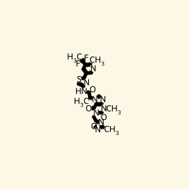 Cc1noc(Cn2c(=O)c3c(ncn3[C@@H](C)C(=O)Nc3csc(-c4cnc(C)c(C(C)(F)F)c4)n3)n(C)c2=O)n1